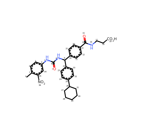 Cc1ccc(NC(=O)NC(c2ccc(C(=O)NCCC(=O)O)cc2)c2ccc(C3CCCCC3)cc2)cc1[N+](=O)[O-]